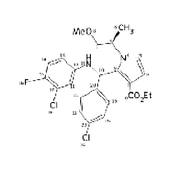 CCOC(=O)c1ccn([C@H](C)COC)c1[C@@H](Nc1ccc(F)c(Cl)c1)c1ccc(Cl)cc1